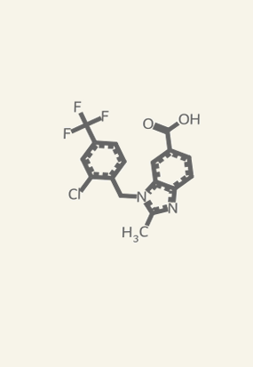 Cc1nc2ccc(C(=O)O)cc2n1Cc1ccc(C(F)(F)F)cc1Cl